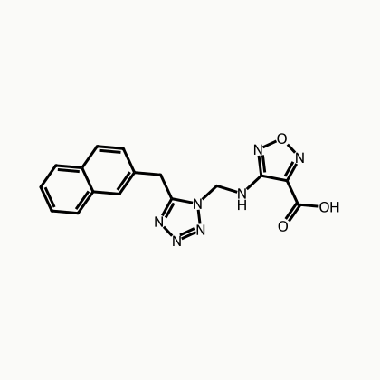 O=C(O)c1nonc1NCn1nnnc1Cc1ccc2ccccc2c1